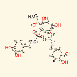 CNC(=O)[C@]1(O)C[C@@H](O)[C@@H](OC(=O)/C=C/c2ccc(O)c(O)c2)[C@H](OC(=O)/C=C/Cc2ccc(O)c(O)c2)C1